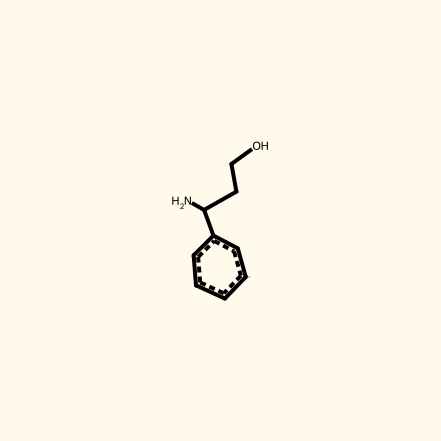 NC(CCO)c1c[c]ccc1